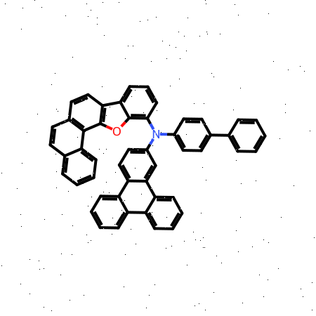 c1ccc(-c2ccc(N(c3ccc4c5ccccc5c5ccccc5c4c3)c3cccc4c3oc3c4ccc4ccc5ccccc5c43)cc2)cc1